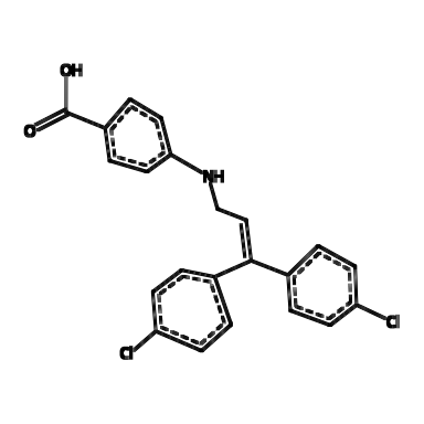 O=C(O)c1ccc(NCC=C(c2ccc(Cl)cc2)c2ccc(Cl)cc2)cc1